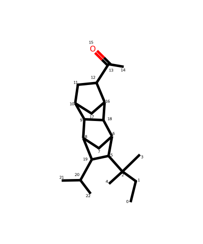 CCC(C)(C)C1C2CC(C3C4CC(C(C)=O)C(C4)C23)C1C(C)C